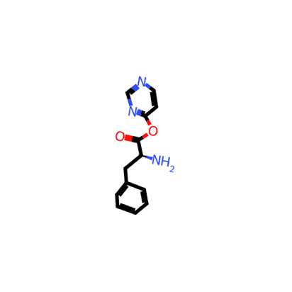 N[C@@H](Cc1ccccc1)C(=O)Oc1ccncn1